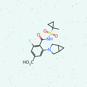 CC1(S(=O)(=O)NC(=O)c2c(F)cc(C(=O)O)cc2N2CC3CC3C2)CC1